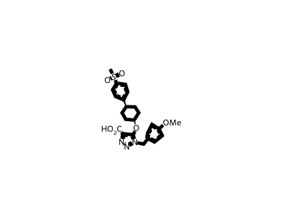 COc1ccc(Cn2nnc(C(=O)O)c2O[C@H]2CC[C@H](c3ccc(S(C)(=O)=O)cc3)CC2)cc1